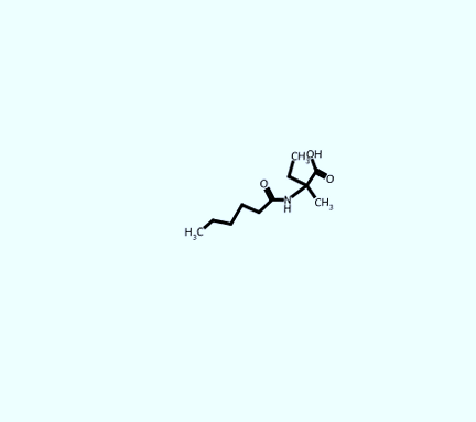 CCCCCC(=O)NC(C)(CC)C(=O)O